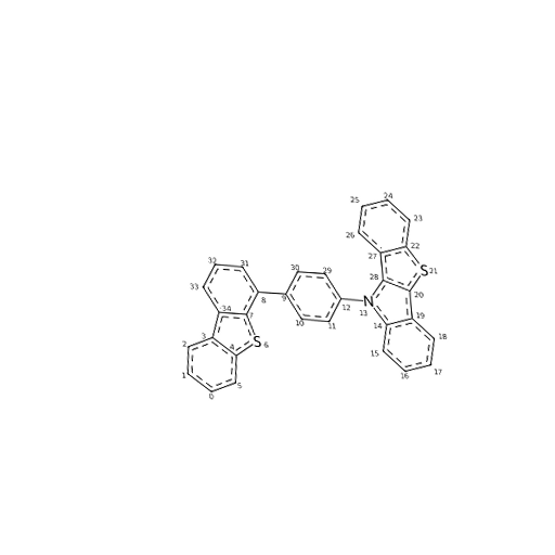 c1ccc2c(c1)sc1c(-c3ccc(-n4c5ccccc5c5sc6ccccc6c54)cc3)cccc12